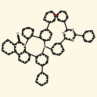 O=c1c2ccccc2c2cccc3c2n1-c1ccccc1-c1cc(-c2ccccc2)ccc1N(c1cccc(-c2nc(-c4ccccc4)nc(-c4ccccc4)n2)c1)c1ccc(-c2ccccc2)cc1-3